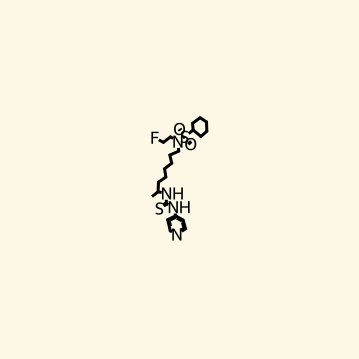 CC(CCCCCCN(CCF)S(=O)(=O)C1CCCCC1)NC(=S)Nc1ccncc1